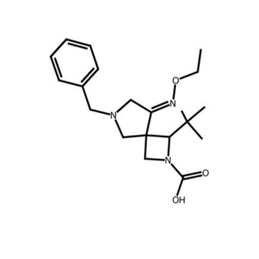 CCON=C1CN(Cc2ccccc2)CC12CN(C(=O)O)C2C(C)(C)C